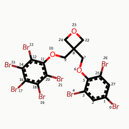 Brc1cc(Br)c(OCC2(COc3c(Br)c(Br)c(Br)c(Br)c3Br)COC2)c(Br)c1